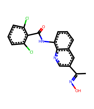 C/C(=N\O)c1cnc2c(NC(=O)c3c(Cl)cccc3Cl)cccc2c1